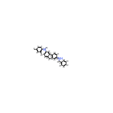 Cc1ccc(N(C)c2ccc3c(c2)-c2ccc(NCc4ccccc4)cc2C3)c(C)c1